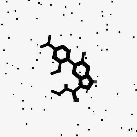 CONC(=N)c1c[nH]c2cc(Cl)c(-c3ccc(N(C)C)nc3OC)cc12